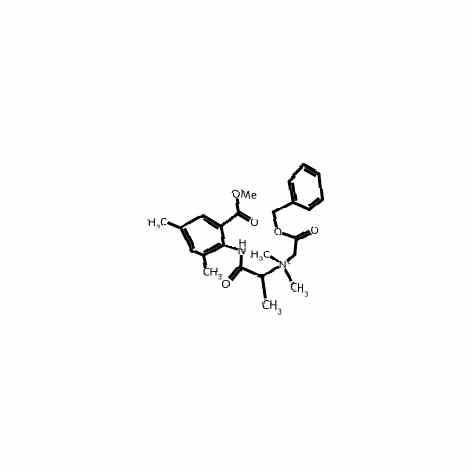 COC(=O)c1cc(C)cc(C)c1NC(=O)C(C)[N+](C)(C)CC(=O)OCc1ccccc1